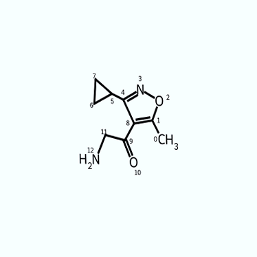 Cc1onc(C2CC2)c1C(=O)CN